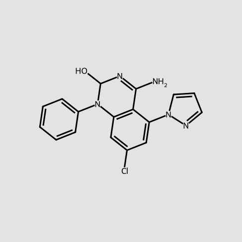 NC1=NC(O)N(c2ccccc2)c2cc(Cl)cc(-n3cccn3)c21